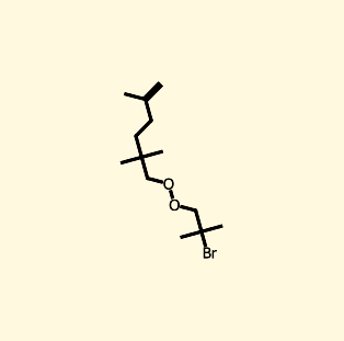 C=C(C)CCC(C)(C)COOCC(C)(C)Br